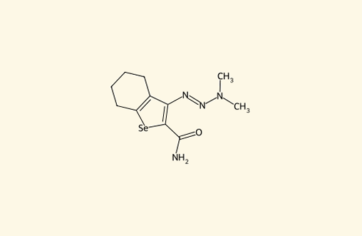 CN(C)N=Nc1c(C(N)=O)[se]c2c1CCCC2